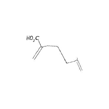 C=[C]CCC(=C)C(=O)O